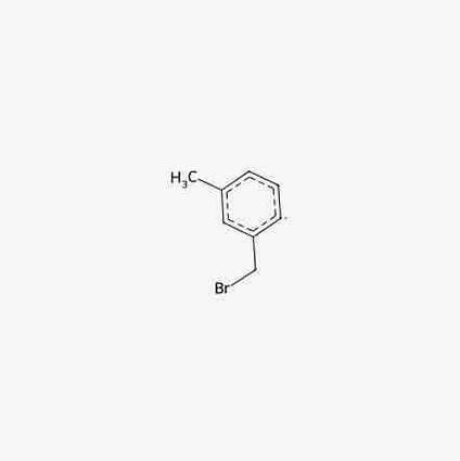 Cc1cc[c]c(CBr)c1